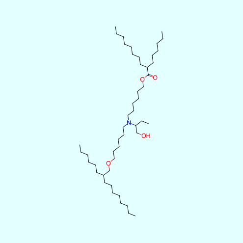 CCCCCCCCC(CCCCCC)COCCCCCCN(CCCCCCOC(=O)C(CCCCCC)CCCCCCCC)C(CC)CO